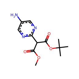 COC(=O)C(C(=O)OC(C)(C)C)c1ncc(N)cn1